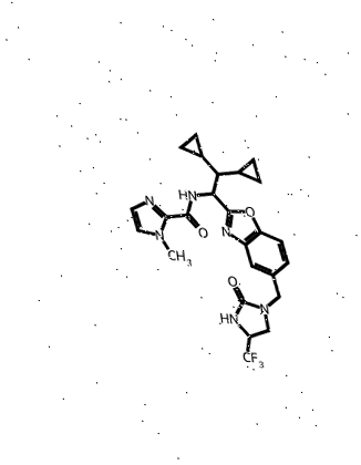 Cn1ccnc1C(=O)NC(c1nc2cc(CN3CC(C(F)(F)F)NC3=O)ccc2o1)C(C1CC1)C1CC1